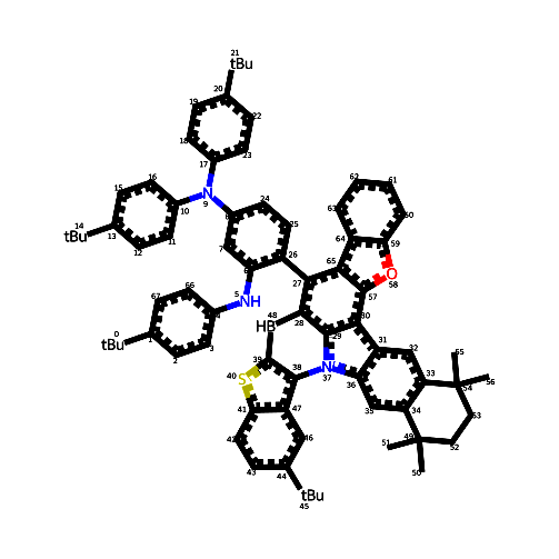 CC(C)(C)c1ccc(Nc2cc(N(c3ccc(C(C)(C)C)cc3)c3ccc(C(C)(C)C)cc3)ccc2-c2c3c4c(c5cc6c(cc5n4-c4c(sc5ccc(C(C)(C)C)cc45)B3)C(C)(C)CCC6(C)C)c3oc4ccccc4c23)cc1